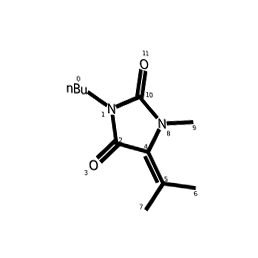 CCCCN1C(=O)C(=C(C)C)N(C)C1=O